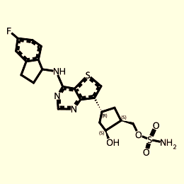 NS(=O)(=O)OC[C@@H]1C[C@@H](c2csc3c(NC4CCc5cc(F)ccc54)ncnc23)C[C@@H]1O